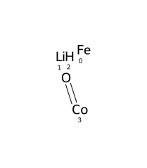 [Fe].[LiH].[O]=[Co]